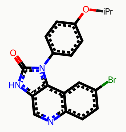 CC(C)Oc1ccc(-n2c(=O)[nH]c3cnc4ccc(Br)cc4c32)cc1